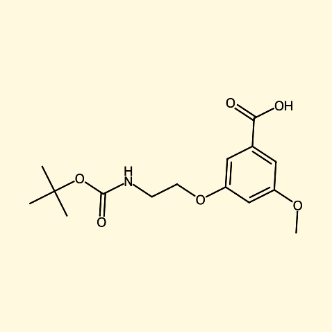 COc1cc(OCCNC(=O)OC(C)(C)C)cc(C(=O)O)c1